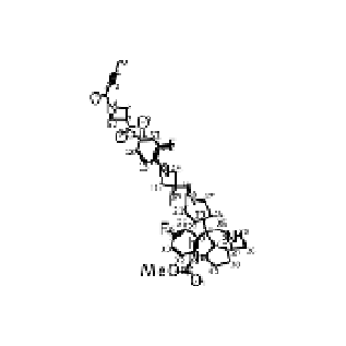 CC#CC(=O)N1CC(S(=O)(=O)c2ccc(N3CC(F)(CN4CCC([C@@](CN5CCC5)(c5cccc(F)c5)[C@H]5CCC[C@@H]5NC(=O)OC)CC4)C3)c(F)c2)C1